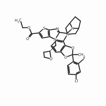 CCOC(=O)c1cc2c(nc(CN3C4CCC3CN(c3cccc5c3OC(C)(c3ccc(Cl)cc3F)O5)C4)n2C[C@@H]2CCO2)s1